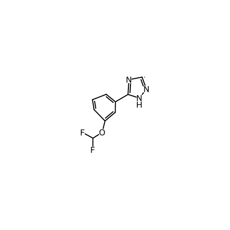 FC(F)Oc1cccc(-c2n[c]n[nH]2)c1